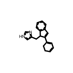 C1=CCCC(C2=Cc3ccccc3C2Cc2c[nH]cn2)=C1